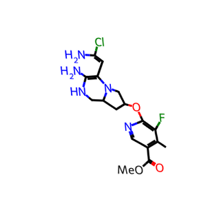 COC(=O)c1cnc(OC2CC3CNC(N)=C(/C=C(\N)Cl)N3C2)c(F)c1C